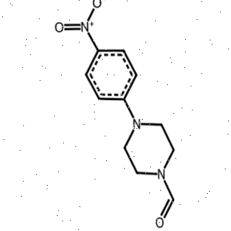 O=CN1CCN(c2ccc([N+](=O)[O-])cc2)CC1